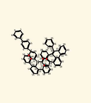 c1ccc(-c2ccc(-c3ccc(N(c4ccc(-c5cccc6c5c(-c5ccccc5)c(-c5ccccc5)c5ccccc56)cc4)c4c(-c5ccccc5)cccc4-c4ccccc4)cc3)cc2)cc1